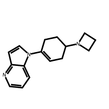 C1=C(n2ccc3ncccc32)CCC(N2CCC2)C1